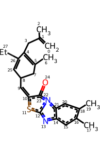 C=C(C)CC1=C(C)CC(/C=c2/sc3nc4cc(C)c(C)cc4n3c2=O)C=C1CC